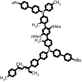 C=C/C(=C\C=C(/C)c1ccc(C)cc1)c1ccc(-c2ccc(N(c3ccc(-c4ccc(CCCC)cc4)cc3)c3ccc(-c4cc(CCCCCC)c(-c5ccc(N(c6ccc(C)cc6)c6ccc(-c7ccc(CCC)cc7)cc6)cc5C)cc4CCCCCC)c(C)c3)cc2)cc1